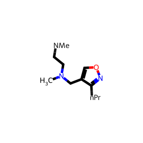 CCCc1nocc1CN(C)CCNC